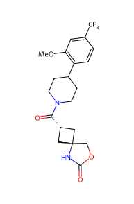 COc1cc(C(F)(F)F)ccc1C1CCN(C(=O)[C@H]2C[C@]3(COC(=O)N3)C2)CC1